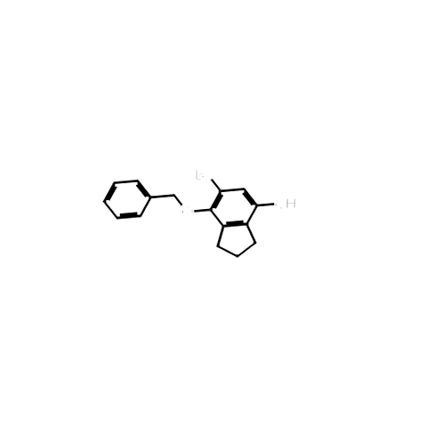 Cc1cc(Br)c(OCc2ccccc2)c2c1CCC2